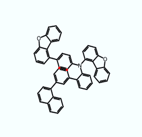 c1cc(-c2ccccc2N(c2ccc(-c3cccc4oc5ccccc5c34)cc2)c2cccc3oc4ccccc4c23)cc(-c2cccc3ccccc23)c1